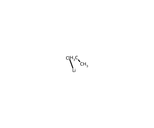 CC.[Li][Cl]